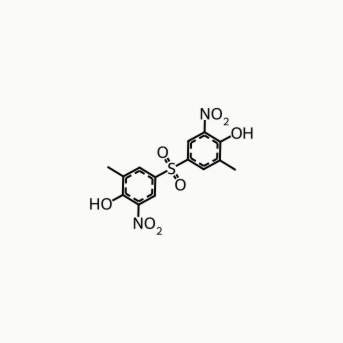 Cc1cc(S(=O)(=O)c2cc(C)c(O)c([N+](=O)[O-])c2)cc([N+](=O)[O-])c1O